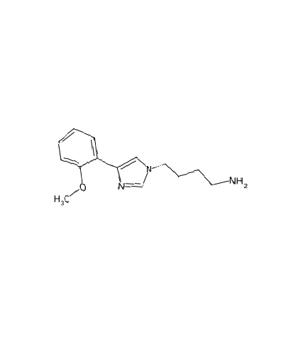 COc1ccccc1-c1cn(CCCCN)cn1